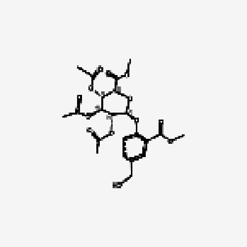 COC(=O)c1cc(CO)ccc1O[C@@H]1O[C@H](C(=O)OC)[C@@H](OC(C)=O)[C@H](OC(C)=O)[C@H]1OC(C)=O